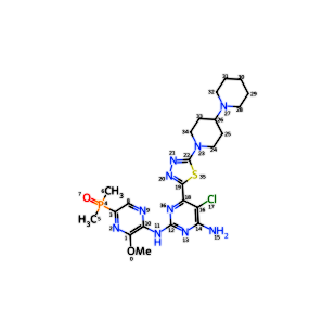 COc1nc(P(C)(C)=O)cnc1Nc1nc(N)c(Cl)c(-c2nnc(N3CCC(N4CCCCC4)CC3)s2)n1